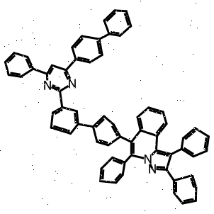 c1ccc(-c2ccc(-c3cc(-c4ccccc4)nc(-c4cccc(-c5ccc(-c6c(-c7ccccc7)n7nc(-c8ccccc8)c(-c8ccccc8)c7c7ccccc67)cc5)c4)n3)cc2)cc1